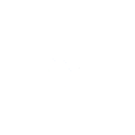 Cc1cc(Br)cc(C(C)C)c1-n1c(=O)nc(Cl)c2cc(F)c(Cl)nc21